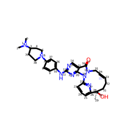 CN(C)C1CCN(c2ccc(Nc3ncc4c(=O)n5n(c4n3)-c3cccc(n3)[C@](C)(O)CC/C=C\C5)cc2)CC1